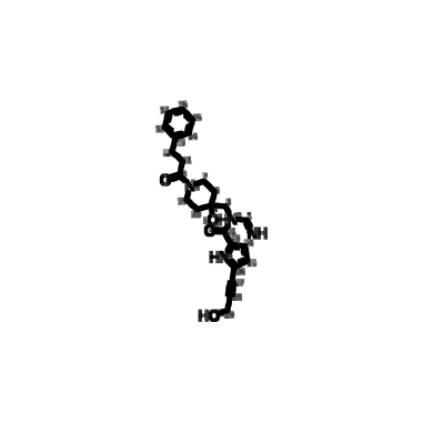 N=CN(CC1(O)CCN(C(=O)CCc2ccccc2)CC1)C(=O)c1ccc(C#CCO)[nH]1